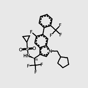 O=S(=O)(N[C@@H](c1cn(CC2CCCC2)c2cc(-c3ccccc3C(F)(F)F)c(F)cc12)C(F)(F)F)C1CC1